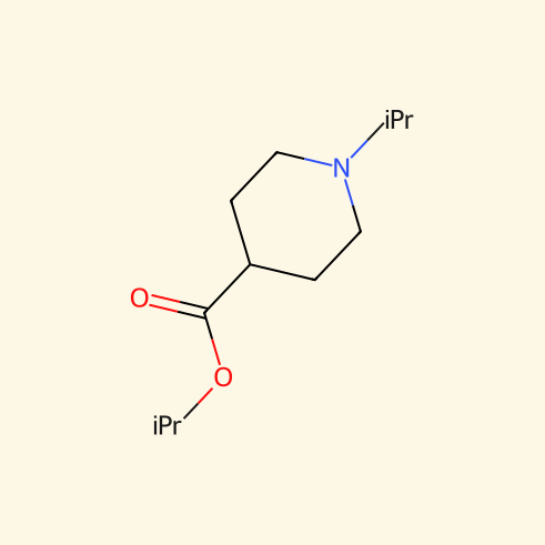 CC(C)OC(=O)C1CCN(C(C)C)CC1